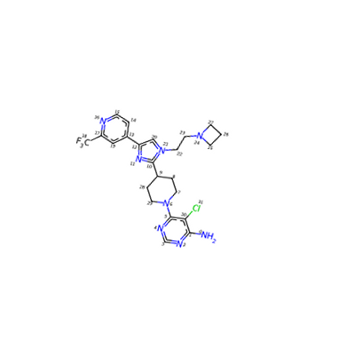 Nc1ncnc(N2CCC(c3nc(-c4ccnc(C(F)(F)F)c4)cn3CCN3CCC3)CC2)c1Cl